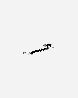 C[C@@H]1O[C@@H](OCCCCCCCC/C=C/C(=O)O)[C@H](O)C[C@H]1O